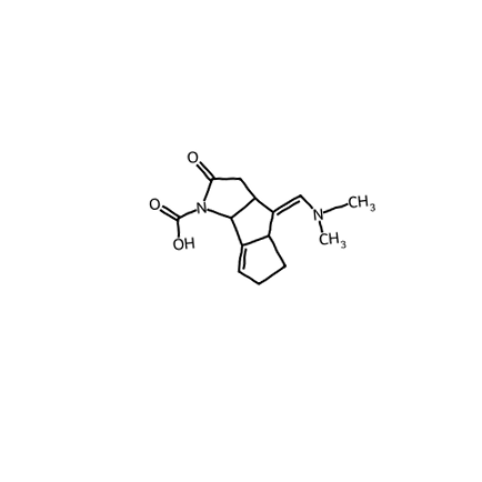 CN(C)C=C1C2CCC=C2C2C1CC(=O)N2C(=O)O